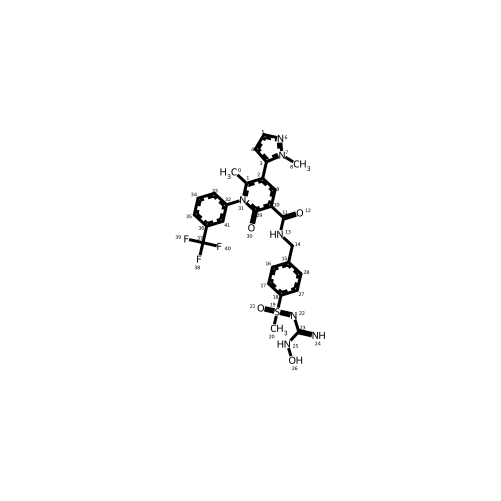 Cc1c(-c2ccnn2C)cc(C(=O)NCc2ccc(S(C)(=O)=NC(=N)NO)cc2)c(=O)n1-c1cccc(C(F)(F)F)c1